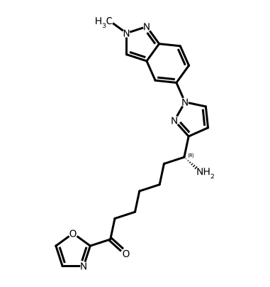 Cn1cc2cc(-n3ccc([C@H](N)CCCCCC(=O)c4ncco4)n3)ccc2n1